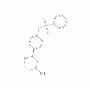 CN1CCO[C@@H](c2ccc(OS(=O)(=O)c3ccccc3)cc2)C1